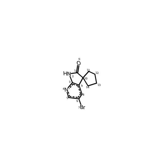 O=C1Nc2ncc(Br)cc2C12CCCC2